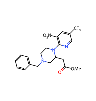 COC(=O)CC1CN(Cc2ccccc2)CCN1c1ncc(C(F)(F)F)cc1[N+](=O)[O-]